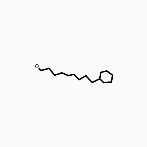 [O]CCCCCCCCCC1CCCCC1